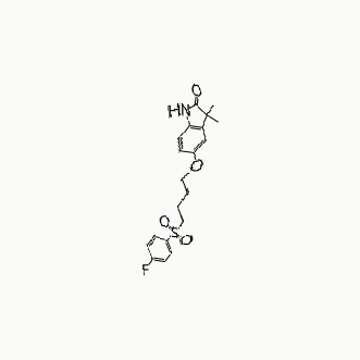 CC1(C)C(=O)Nc2ccc(OCCCCS(=O)(=O)c3ccc(F)cc3)cc21